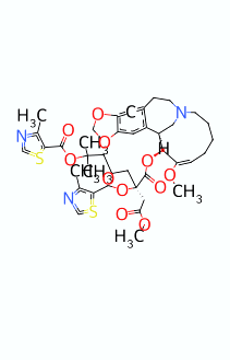 COC(=O)C[C@@](CCCC(C)(C)OC(=O)c1scnc1C)(OC(=O)c1scnc1C)C(=O)O[C@@H]1/C(OC)=C\CCCCN2CCc3cc4c(cc3[C@H]1C2)OCO4